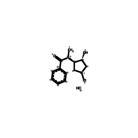 CCN1C[C@@H](O)[C@H](N(C)C(=O)c2ccccc2)C1.Cl